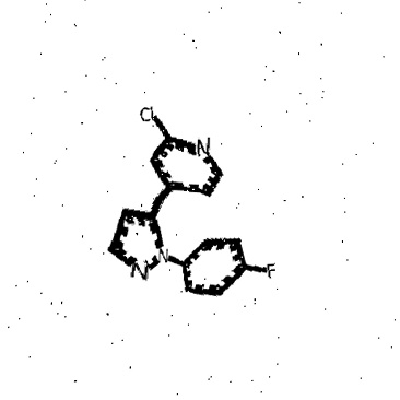 Fc1ccc(-n2nccc2-c2ccnc(Cl)c2)cc1